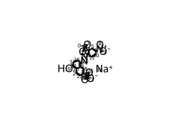 CS(=O)(=O)c1cc([N+](=O)[O-])ccc1N=Nc1ccc(O)c2ccc(S(=O)(=O)[O-])cc12.[Na+]